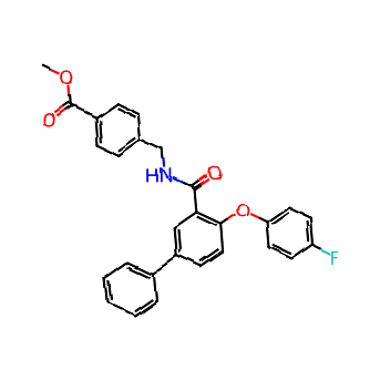 COC(=O)c1ccc(CNC(=O)c2cc(-c3ccccc3)ccc2Oc2ccc(F)cc2)cc1